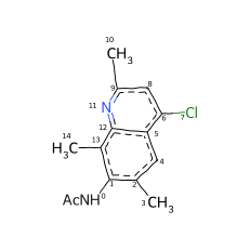 CC(=O)Nc1c(C)cc2c(Cl)cc(C)nc2c1C